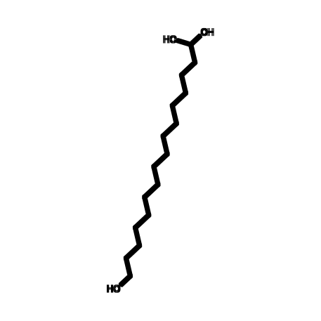 OCCCCCCCCCCCCCCCC(O)O